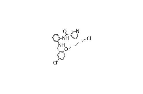 O=C(Nc1ccccc1NCc1cc(Cl)ccc1OCCCCCCCl)c1cccnc1